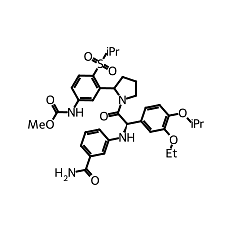 CCOc1cc([C@@H](Nc2cccc(C(N)=O)c2)C(=O)N2CCCC2c2cc(NC(=O)OC)ccc2S(=O)(=O)C(C)C)ccc1OC(C)C